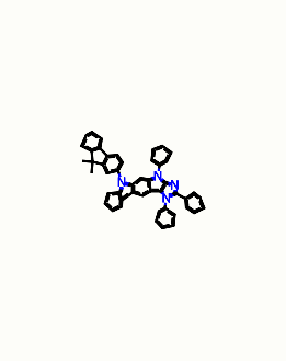 CC1(C)c2ccccc2-c2ccc(-n3c4ccccc4c4cc5c6c(nc(-c7ccccc7)n6-c6ccccc6)n(-c6ccccc6)c5cc43)cc21